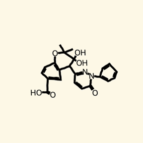 CC1(C)Oc2ccc(C(=O)O)cc2C(c2ccc(=O)n(-c3ccccc3)n2)C1(O)O